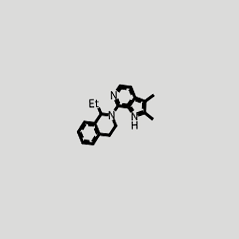 CCC1c2ccccc2CCN1c1nccc2c(C)c(C)[nH]c12